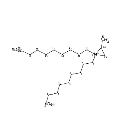 CCCCCCCCCCCCCCCCCC[N+]1(CCCCCCCCCCCCCCCCCC)CC1C